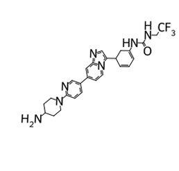 NC1CCN(c2ccc(-c3ccn4c(C5C=CC=C(NC(=O)NCC(F)(F)F)C5)cnc4c3)cn2)CC1